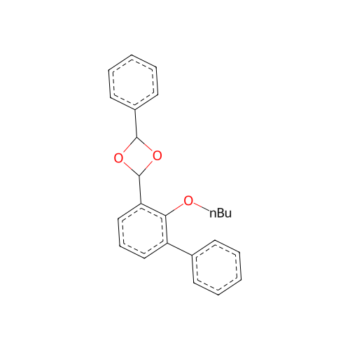 CCCCOc1c(-c2ccccc2)cccc1C1OC(c2ccccc2)O1